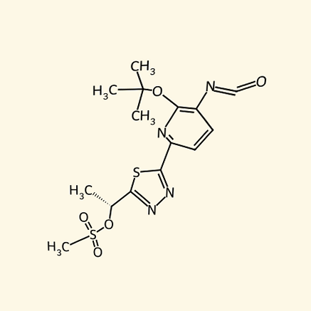 C[C@@H](OS(C)(=O)=O)c1nnc(-c2ccc(N=C=O)c(OC(C)(C)C)n2)s1